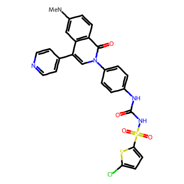 CNc1ccc2c(=O)n(-c3ccc(NC(=O)NS(=O)(=O)c4ccc(Cl)s4)cc3)cc(-c3ccncc3)c2c1